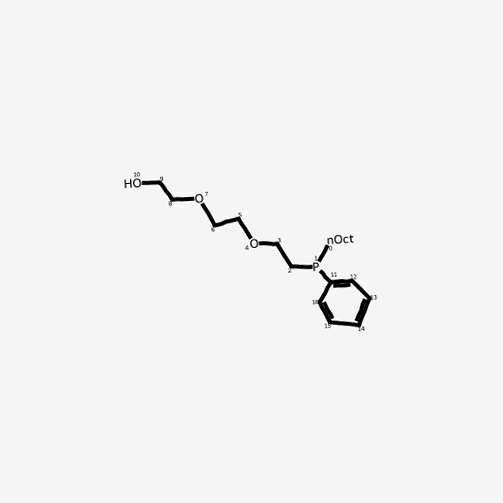 CCCCCCCCP(CCOCCOCCO)c1ccccc1